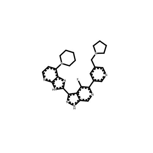 Fc1c(-c2cncc(CN3CCCC3)c2)ncc2[nH]nc(-c3nc4c(N5CCCCC5)ccnc4[nH]3)c12